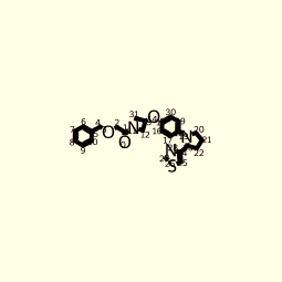 O=C(COCc1ccccc1)N1CC(Oc2ccc(N3CCCC3c3cscn3)cc2)C1